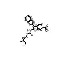 CCC(C)NCCC(=O)NC1SC2=CN(C(=O)O)CC=C2C1c1nc2cnccc2s1